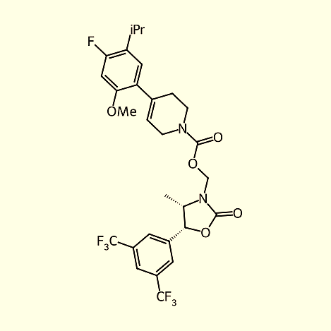 COc1cc(F)c(C(C)C)cc1C1=CCN(C(=O)OCN2C(=O)O[C@H](c3cc(C(F)(F)F)cc(C(F)(F)F)c3)[C@@H]2C)CC1